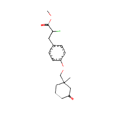 COC(=O)C(Cl)Cc1ccc(OCC2(C)CCCC(=O)C2)cc1